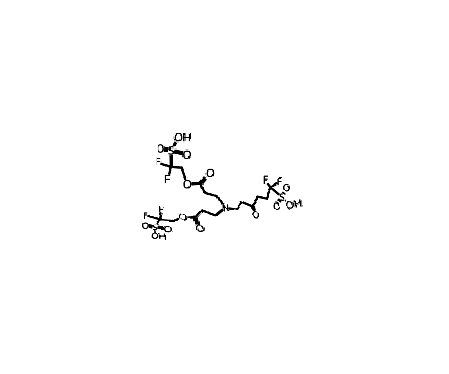 O=C(CCN(CCC(=O)OCC(F)(F)S(=O)(=O)O)CCC(=O)OCC(F)(F)S(=O)(=O)O)CCC(F)(F)S(=O)(=O)O